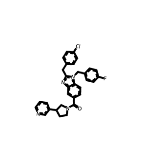 O=C(c1ccc2c(c1)nc(Cc1ccc(Cl)cc1)n2Cc1ccc(F)cc1)N1CCC(c2cccnc2)C1